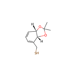 CC1(C)O[C@H]2C=CC=C(CS)[C@H]2O1